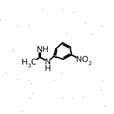 CC(=N)Nc1cccc([N+](=O)[O-])c1